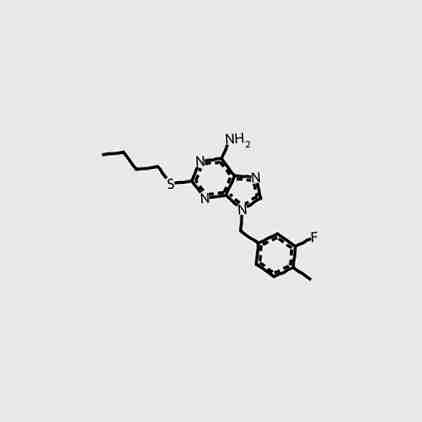 CCCCSc1nc(N)c2ncn(Cc3ccc(C)c(F)c3)c2n1